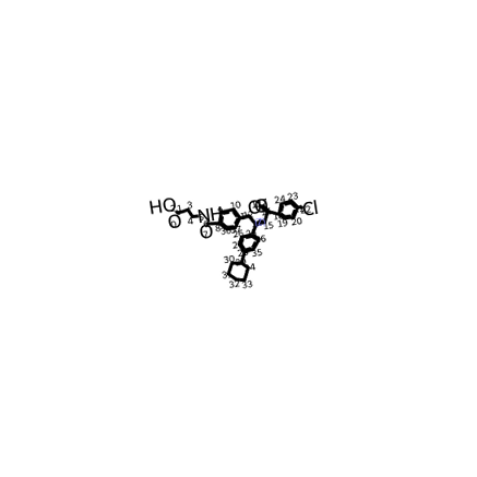 O=C(O)CCNC(=O)c1ccc(C(=O)/C(=C\C(=O)c2ccc(Cl)cc2)c2ccc(C3CCCCC3)cc2)cc1